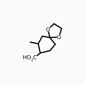 CC1CC2(CCC1C(=O)O)OCCO2